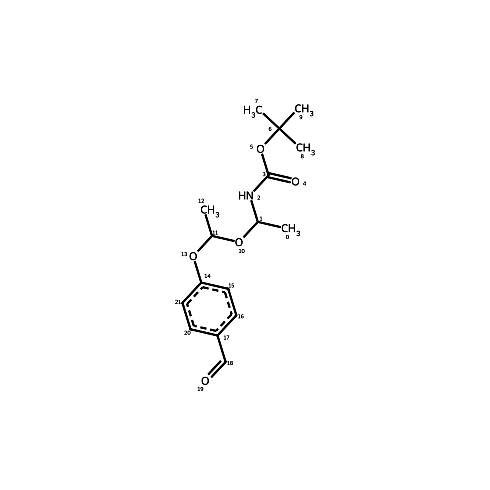 CC(NC(=O)OC(C)(C)C)OC(C)Oc1ccc(C=O)cc1